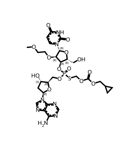 COCCO[C@@H]1[C@H](OP(=O)(OC[C@H]2O[C@@H](n3cnc4c(N)ncnc43)C[C@@H]2O)SCOC(=O)OCC2CC2)[C@@H](CO)O[C@H]1n1ccc(=O)[nH]c1=O